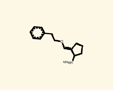 CCCCCCCC1CCCC1=COCCc1ccccc1